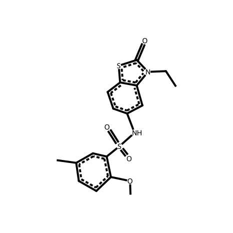 CCn1c(=O)sc2ccc(NS(=O)(=O)c3cc(C)ccc3OC)cc21